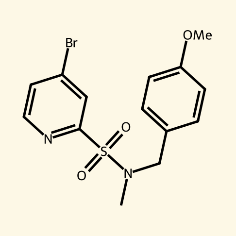 COc1ccc(CN(C)S(=O)(=O)c2cc(Br)ccn2)cc1